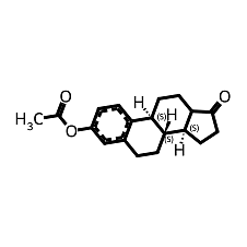 CC(=O)Oc1ccc2c(c1)CC[C@@H]1[C@@H]2CCC2C(=O)CC[C@H]21